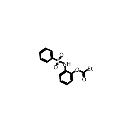 CCC(=O)Oc1ccccc1NS(=O)(=O)c1ccccc1